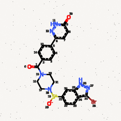 O=C(c1ccc(-c2ccc(=O)[nH]n2)cc1)N1CCN([S+]([O-])c2ccc3c(Br)n[nH]c3c2)CC1